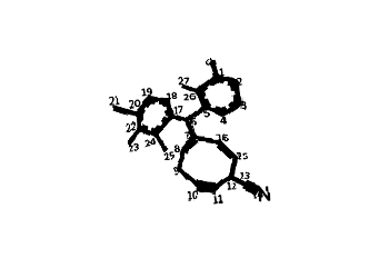 Cc1cccc(C(C2=C/CC#CC(C#N)/C=C\2)c2ccc(C)c(C)c2C)c1C